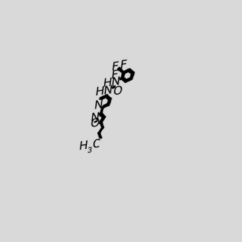 CCCCc1cc(-c2ccc(NC(=O)Nc3ccccc3C(F)(F)F)cn2)no1